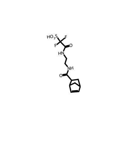 O=C(NCCNC(=O)C(F)(F)S(=O)(=O)O)C1CC2C=CC1C2